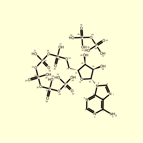 Nc1ncnc2c1ncn2[C@@H]1O[C@H](COP(=O)(O)OP(=O)(O)OP(=O)(O)OP(=O)(O)OP(=O)(O)O)[C@@H](O)[C@H]1O.O=P(O)(O)OP(=O)(O)O